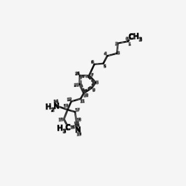 CCCCCCCc1ccc(CCC(N)(CC)CC#N)cc1